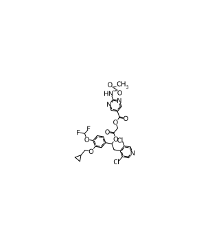 CS(=O)(=O)Nc1ncc(C(=O)OCC(=O)OC(Cc2c(Cl)cncc2Cl)c2ccc(OC(F)F)c(OCC3CC3)c2)cn1